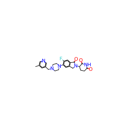 Cc1cncc(CN2CCN(c3cc4c(cc3F)C(=O)N(C3CCC(=O)NC3=O)C4)CC2)c1